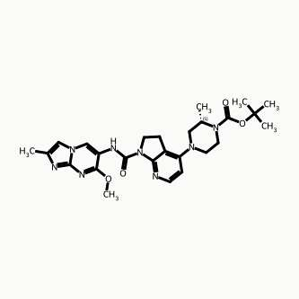 COc1nc2nc(C)cn2cc1NC(=O)N1CCc2c(N3CCN(C(=O)OC(C)(C)C)[C@@H](C)C3)ccnc21